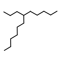 CCCC[CH]C(CCC)CCCCCC